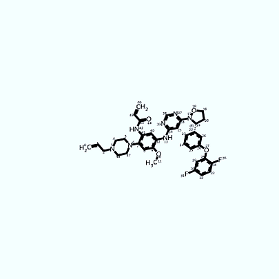 C=CCN1CCN(c2cc(OC)c(Nc3cc(N4OCC[C@@H]4c4cccc(Oc5cc(F)ccc5F)c4)ncn3)cc2NC(=O)C=C)CC1